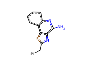 CC(C)Cc1nc2c(N)nc3ccccc3c2s1